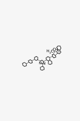 CC1(C)c2cc(-c3ccc(-c4cc(-c5cccc(-c6ccc(-c7ccccc7)cc6)c5)nc(-c5ccccc5)n4)c4ccccc34)ccc2-c2ccc3ccccc3c21